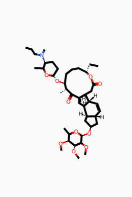 CCCN(C)[C@H]1CC[C@H](O[C@H]2CCC[C@H](CC)OC(=O)C[C@@H]3C(=C[C@@H]4[C@H]3C=C[C@@H]3C[C@@H](O[C@@H]5OC(C)[C@H](OC)[C@@H](OC)C5OC)C[C@@H]43)C(=O)[C@@H]2C)OC1C